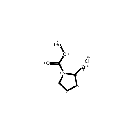 CC(C)(C)OC(=O)N1CCC[CH]1[Zn+].[Cl-]